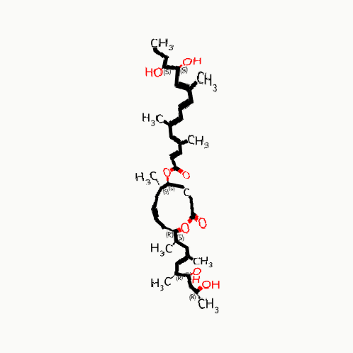 CCC[C@H](O)[C@@H](O)C=C(C)C=CC=C(C)C=C(C)C=CC(=O)O[C@H]1CCCC(=O)O[C@@H]([C@@H](C)CC(C)=C[C@@H](C)[C@H](O)C[C@@H](C)O)CC=CC[C@@H]1C